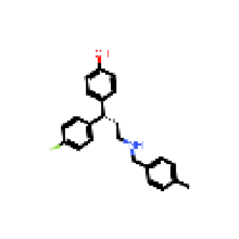 Cc1ccc(CNCC[C@@H](c2ccc(O)cc2)c2ccc(F)cc2)cc1